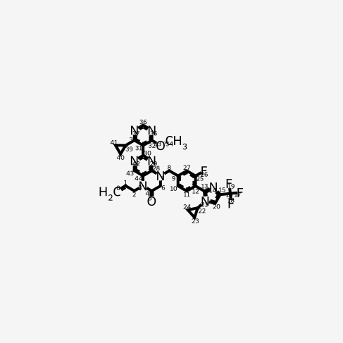 C=CCN1C(=O)CN(Cc2ccc(-c3nc(C(F)(F)F)cn3C3CC3)c(F)c2)c2nc(-c3c(OC)ncnc3C3CC3)ncc21